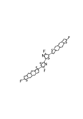 Fc1cc2cc3cc4sc(-c5sc(-c6nc(F)c(-c7cc8cc9cc%10sc(F)cc%10cc9cc8s7)s6)nc5F)cc4cc3cc2s1